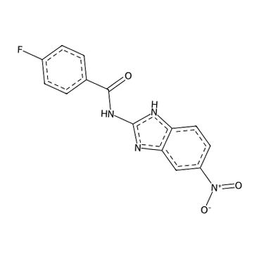 O=C(Nc1nc2cc([N+](=O)[O-])ccc2[nH]1)c1ccc(F)cc1